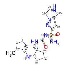 CC1CCc2c1nc1c(c2NC(=O)N=S(N)(=O)c2cc3n(n2)CCNC3)CCC1